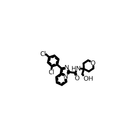 O=C(NC1(CO)CCOCC1)c1nc(-c2ccc(Cl)cc2Cl)c2ccccn12